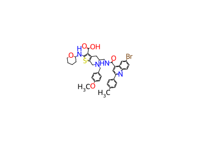 COc1ccc(CN2Cc3sc(NC4CCCCO4)c(C(=O)O)c3CC2CNC(=O)c2cc(-c3ccc(C)cc3)nc3ccc(Br)cc23)cc1